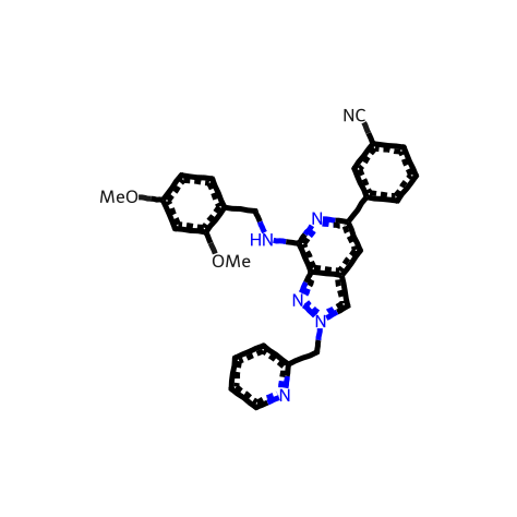 COc1ccc(CNc2nc(-c3cccc(C#N)c3)cc3cn(Cc4ccccn4)nc23)c(OC)c1